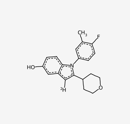 [2H]c1c(C2CCOCC2)n(-c2ccc(F)c(C)c2)c2ccc(O)cc12